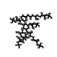 CN(C(=O)OC(C)(C)C)[C@@H]1[C@@H](O)[C@@H](O[C@H]2[C@H](NC(=O)[C@@H](O)CNC(=O)OC(C)(C)C)C[C@H](NC(=O)OC(C)(C)C)C([C@H]3OC(CNCC(O)CCNC(=O)OC(C)(C)C)=CC[C@H]3NC(=O)OC(C)(C)C)[C@@H]2O)OC[C@]1(C)O